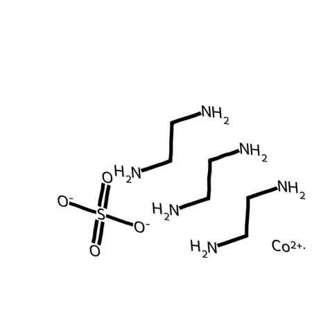 NCCN.NCCN.NCCN.O=S(=O)([O-])[O-].[Co+2]